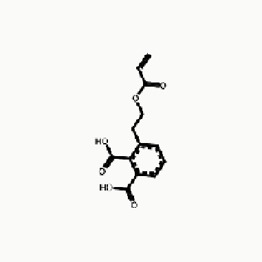 C=CC(=O)OCCc1cccc(C(=O)O)c1C(=O)O